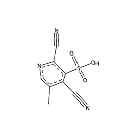 Cc1cnc(C#N)c(S(=O)(=O)O)c1C#N